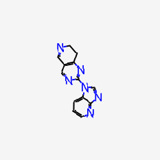 C1=NCCc2nc(-n3cnc4ncccc43)ncc21